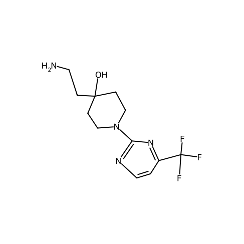 NCCC1(O)CCN(c2nccc(C(F)(F)F)n2)CC1